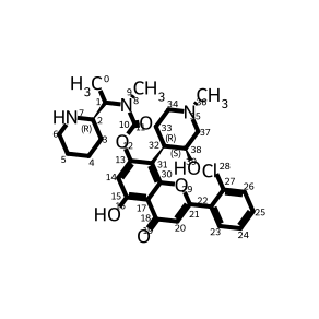 CC([C@H]1CCCCN1)N(C)C(=O)Oc1cc(O)c2c(=O)cc(-c3ccccc3Cl)oc2c1[C@H]1CCN(C)C[C@H]1O